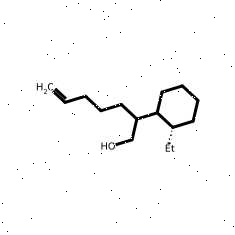 C=CCCCC(CO)C1CCCC[C@@H]1CC